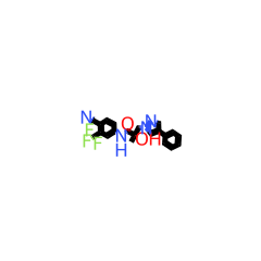 CC(O)(Cn1cc(-c2ccccc2)cn1)C(=O)Nc1ccc(C#N)c(C(F)(F)F)c1